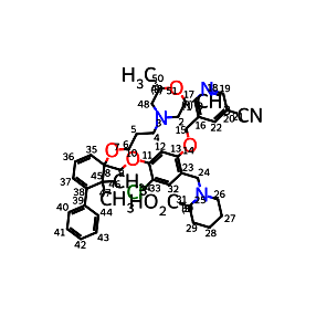 C[C@@H]1CN(CCCOC2(COc3cc(OCc4cncc(C#N)c4)c(CN4CCCC[C@H]4C(=O)O)cc3Cl)C=CC=C(c3ccccc3)C2(C)C)C[C@H](C)O1